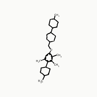 Cc1cc(OCC2CCC(C3CCC(C)CC3)CC2)c(C)c(C)c1C1CCC(C)CC1